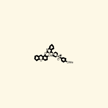 COc1ccc(S(=O)(=O)N2CCN(c3nc(Oc4c(OC)ccc5c4Cc4ccccc4O5)nc4ccccc34)CC2)cc1